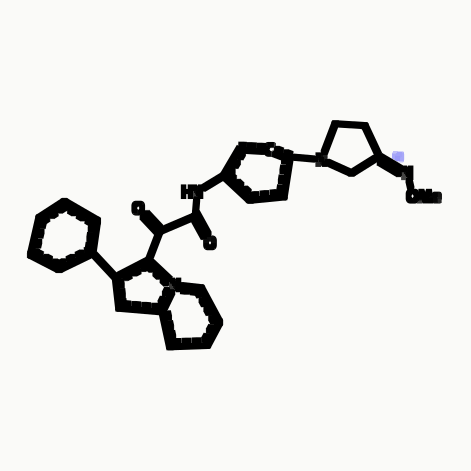 CO/N=C1/CCN(c2ccc(NC(=O)C(=O)c3c(-c4ccccc4)cc4ccccn34)cc2)C1